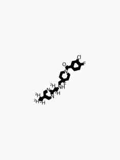 [2H]C([2H])([2H])c1cnc(C([2H])([2H])NCC2(F)CCN(C(=O)c3ccc(F)c(Cl)c3)CC2)nc1